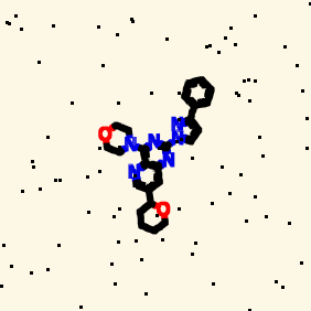 c1ccc(-c2ccn(-c3nc(N4CCOCC4)c4ncc(C5CCCCO5)cc4n3)n2)cc1